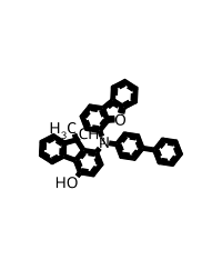 CC1(C)c2ccccc2-c2c(O)ccc(N(c3ccc(-c4ccccc4)cc3)c3cccc4c3oc3ccccc34)c21